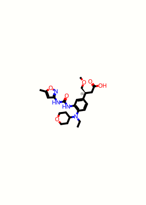 CCN(c1ccc([C@@H](COC)CC(=O)O)cc1NC(=O)Nc1cc(C)on1)C1CCOCC1